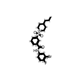 CCCC1CCN(S(=O)(=O)c2cccc(C(=O)Nc3ccc(F)c(Br)c3)c2)CC1